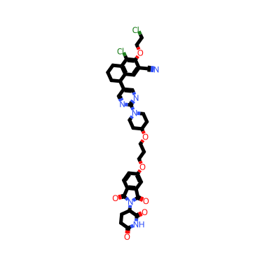 N#Cc1cc2c(c(Cl)c1OCCCl)CCCC2c1cnc(N2CCC(OCCCOc3ccc4c(c3)C(=O)N(C3CCC(=O)NC3=O)C4=O)CC2)nc1